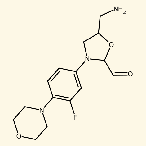 NCC1CN(c2ccc(N3CCOCC3)c(F)c2)C(C=O)O1